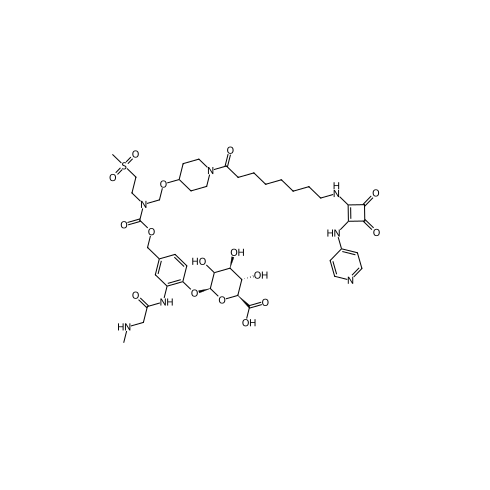 CNCC(=O)Nc1cc(COC(=O)N(CCS(C)(=O)=O)COC2CCN(C(=O)CCCCCCCNc3c(Nc4ccncc4)c(=O)c3=O)CC2)ccc1O[C@@H]1O[C@H](C(=O)O)[C@@H](O)[C@H](O)C1O